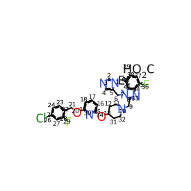 CCn1cncc1Cn1c(CN2CCC(Oc3cccc(OCc4ccc(Cl)cc4F)n3)CC2)nc2c(F)cc(C(=O)O)cc21